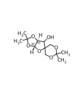 CC1(C)OCC2(CO1)O[C@@H]1OC(C)(C)O[C@H]1C2O